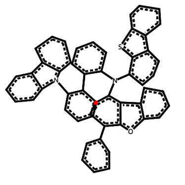 c1ccc(-c2ccc(N(c3ccccc3-c3ccccc3-n3c4ccccc4c4ccccc43)c3cccc4c3sc3ccccc34)c3c2oc2ccccc23)cc1